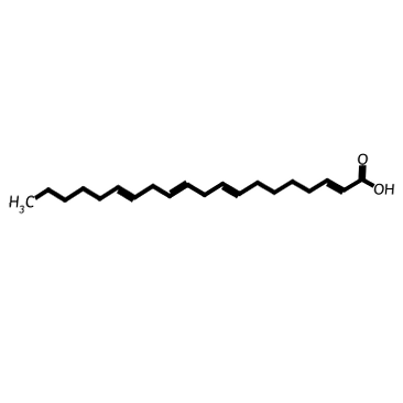 CCCCCC=CCC=CCC=CCCCCC=CC(=O)O